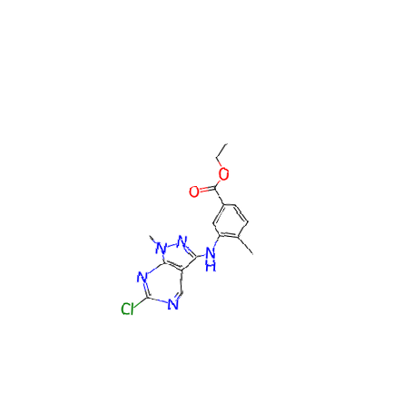 CCOC(=O)c1ccc(C)c(Nc2nn(C)c3nc(Cl)ncc23)c1